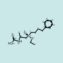 CCOP(=O)(CCCCc1ccccc1)CC(C)NC(=O)O